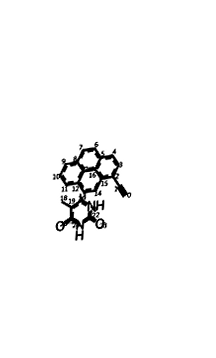 C#Cc1ccc2ccc3cccc4ccc1c2c34.Cc1c[nH]c(=O)[nH]c1=O